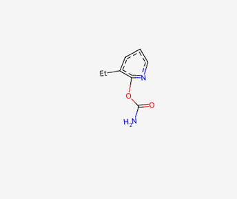 CCc1cccnc1OC(N)=O